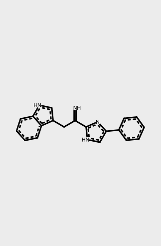 N=C(Cc1c[nH]c2ccccc12)c1nc(-c2ccccc2)c[nH]1